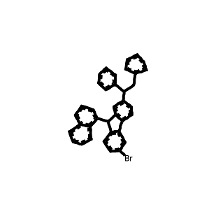 Brc1ccc2c(c1)-c1ccc(C(Cc3ccccc3)c3ccccc3)cc1C2c1cccc2ccccc12